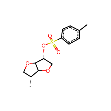 Cc1ccc(S(=O)(=O)O[C@@H]2COC3C2OC[C@H]3C)cc1